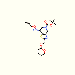 C=CCONC1CN(C(=O)OC(C)(C)C)Cc2nc(COC3CCCCO3)sc21